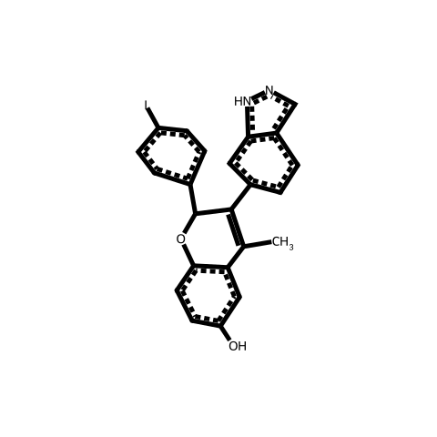 CC1=C(c2ccc3cn[nH]c3c2)C(c2ccc(I)cc2)Oc2ccc(O)cc21